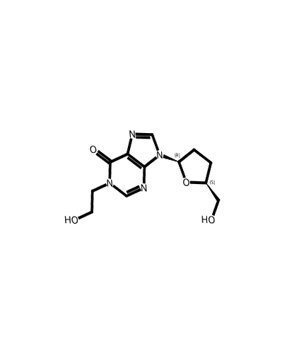 O=c1c2ncn([C@H]3CC[C@@H](CO)O3)c2ncn1CCO